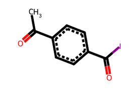 CC(=O)c1ccc(C(=O)I)cc1